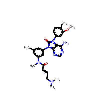 COc1cc(-n2c(=O)n(-c3cc(C)cc(N(C)C(=O)/C=C/CN(C)C)c3)c3ncnc(N)c32)ccc1C